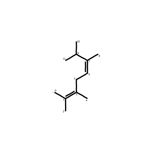 [CH2]C(C)=C(C)CC=C(C)C(C)C